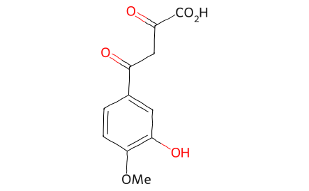 COc1ccc(C(=O)CC(=O)C(=O)O)cc1O